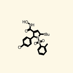 Cc1ccccc1S(=O)(=O)N1C(c2ccc(Cl)cc2)C(C(=O)NO)=CC1C(C)(C)C